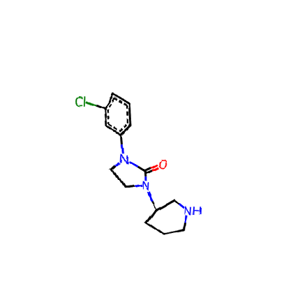 O=C1N(c2cccc(Cl)c2)CCN1[C@@H]1CCCNC1